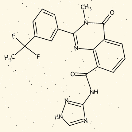 Cn1c(-c2cccc(C(C)(F)F)c2)nc2c(C(=O)Nc3nc[nH]n3)cccc2c1=O